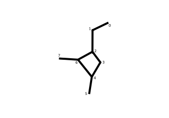 CC[C]1CC(C)C1C